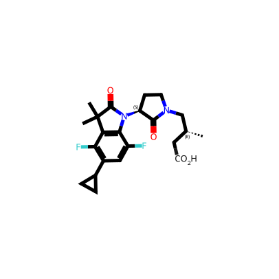 C[C@H](CC(=O)O)CN1CC[C@H](N2C(=O)C(C)(C)c3c(F)c(C4CC4)cc(F)c32)C1=O